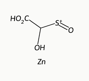 O=[S+]C(O)C(=O)O.[Zn]